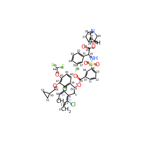 C=C/C(Cl)=C(C[C@H](OC(=O)c1cccc(S(=O)(=O)NC(C(=O)O[C@H]2CN3CCC2CC3)c2cccc(F)c2)c1)c1ccc(OC(F)F)c(OCC2CC2)c1)\C(Cl)=C/C